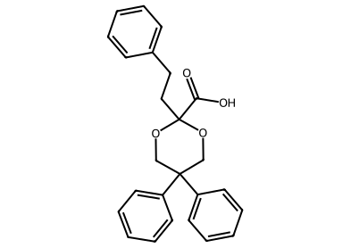 O=C(O)C1(CCc2ccccc2)OCC(c2ccccc2)(c2ccccc2)CO1